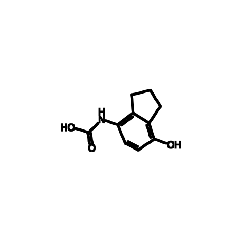 O=C(O)Nc1ccc(O)c2c1CCC2